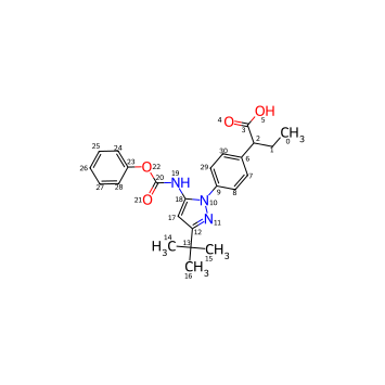 CCC(C(=O)O)c1ccc(-n2nc(C(C)(C)C)cc2NC(=O)Oc2ccccc2)cc1